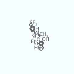 CCOc1c2c(cc(O)c1OCC(C)(C#N)NC(=O)c1ccc(OC(F)(F)F)cc1)COB2